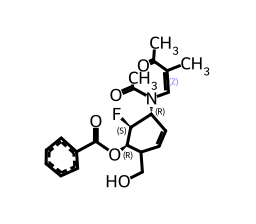 CC(=O)/C(C)=C\N(C(C)=O)[C@@H]1C=CC(CO)[C@@H](OC(=O)c2ccccc2)[C@H]1F